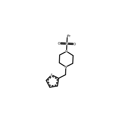 CC(C)S(=O)(=O)N1CCN(Cc2cccs2)CC1